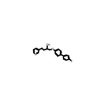 OC(CCc1cccnc1)COc1ccc(-c2ccc(F)cc2)cc1